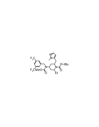 CCC1CC(N(Cc2cc(C(F)(F)F)cc(C(F)(F)F)c2)C(=O)OC)CC(Cc2ccnn2C)N1C(=O)OC(C)(C)C